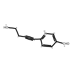 O=Cc1ccc(C#CCCO)nc1